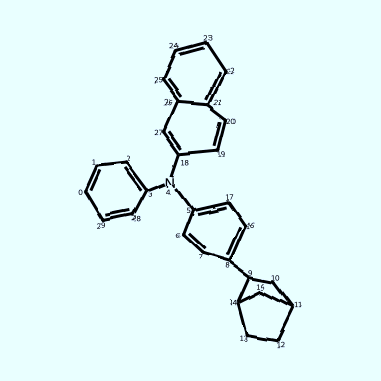 c1ccc(N(c2ccc(C3CC4CCC3C4)cc2)c2ccc3ccccc3c2)cc1